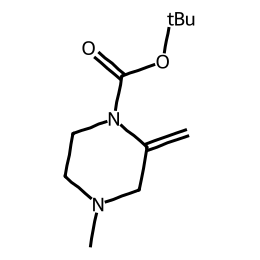 C=C1CN(C)CCN1C(=O)OC(C)(C)C